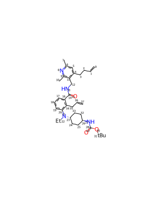 C=CCCc1cc(C)nc(C)c1CNC(=O)c1cccc(N(CC)[C@H]2CC[C@H](NC(=O)OC(C)(C)C)CC2)c1CC=C